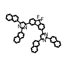 FC1(F)c2ccc(-c3cc(-c4ccc5ccccc5c4)nc(-c4ccc5ccccc5c4)n3)cc2-c2cc(-c3cc(-c4ccc5ccccc5c4)nc(-c4ccc5ccccc5c4)n3)ccc21